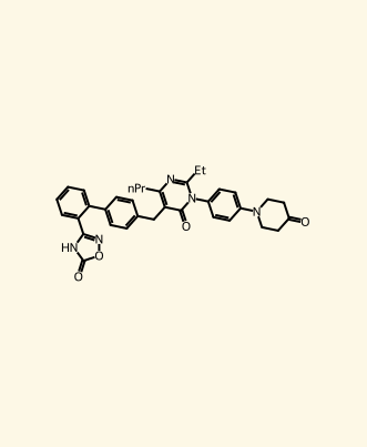 CCCc1nc(CC)n(-c2ccc(N3CCC(=O)CC3)cc2)c(=O)c1Cc1ccc(-c2ccccc2-c2noc(=O)[nH]2)cc1